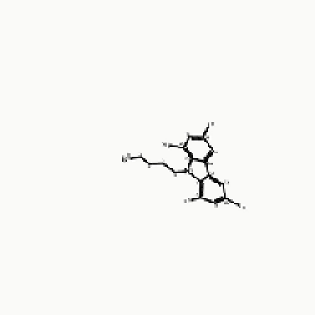 BrCCCCn1c2c(I)cc(I)cc2c2cc(I)cc(I)c21